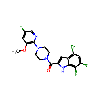 COc1cc(F)cnc1N1CCN(C(=O)c2cc3c(Br)cc(Cl)c(F)c3[nH]2)CC1